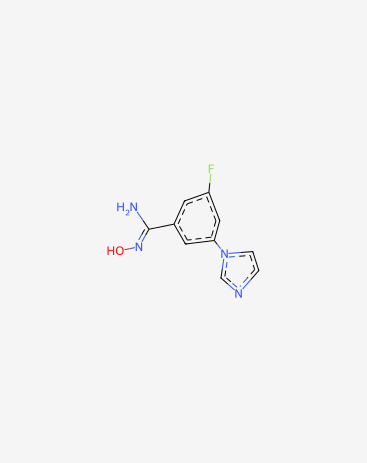 NC(=NO)c1cc(F)cc(-n2ccnc2)c1